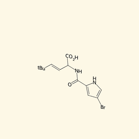 CC(C)(C)C=CC(NC(=O)c1cc(Br)c[nH]1)C(=O)O